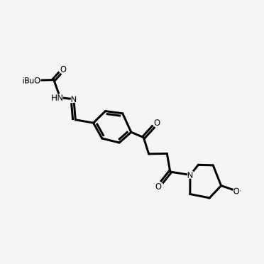 CC(C)COC(=O)NN=Cc1ccc(C(=O)CCC(=O)N2CCC([O])CC2)cc1